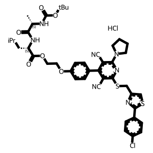 CC(C)C[C@H](NC(=O)[C@H](C)NC(=O)OC(C)(C)C)C(=O)OCCOc1ccc(-c2c(C#N)c(SCc3csc(-c4ccc(Cl)cc4)n3)nc(N3CCCC3)c2C#N)cc1.Cl